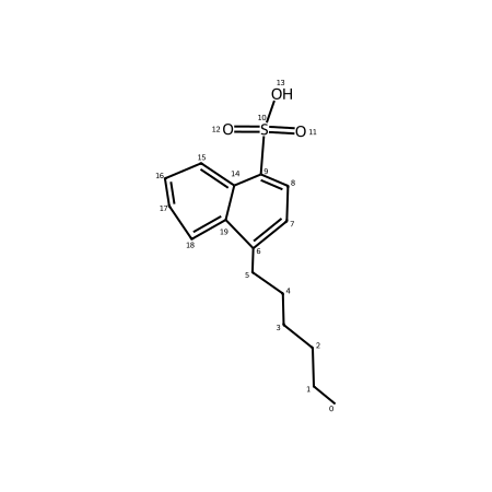 CCCCCCc1ccc(S(=O)(=O)O)c2ccccc12